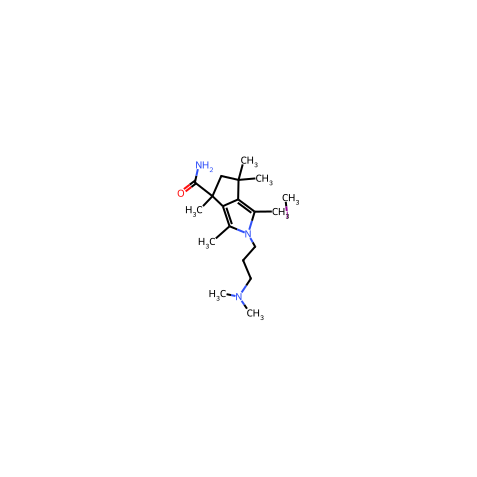 CI.Cc1c2c(c(C)n1CCCN(C)C)C(C)(C(N)=O)CC2(C)C